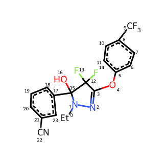 CCN1N=C(Oc2ccc(C(F)(F)F)cc2)C(F)(F)C1(O)c1cccc(C#N)c1